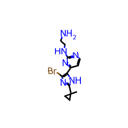 CC1(c2nc(Br)c(-c3ccnc(NCCN)n3)[nH]2)CC1